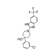 OC1(c2cccc(Cl)c2)CCN(c2nc3ccc(C(F)(F)F)cc3[nH]2)CC1